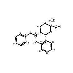 CC[C@]1(O)CC[C@H](N(Cc2ccccc2)Cc2ccccc2)CC1